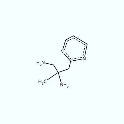 CC(N)(CN)Cc1ncccn1